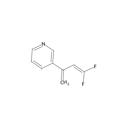 C=C(C=C(F)F)c1[c]ccnc1